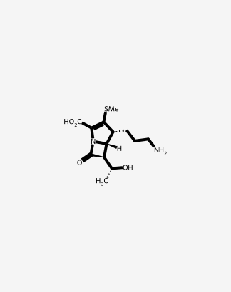 CSC1=C(C(=O)O)N2C(=O)[C@H]([C@@H](C)O)[C@H]2[C@H]1CCCN